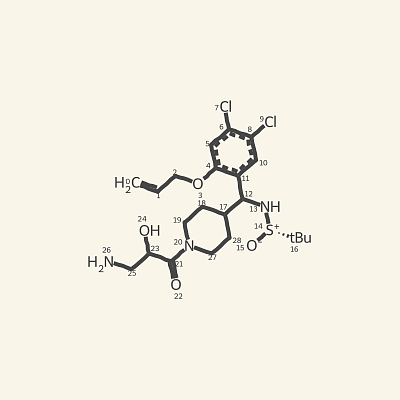 C=CCOc1cc(Cl)c(Cl)cc1C(N[S@@+]([O-])C(C)(C)C)C1CCN(C(=O)C(O)CN)CC1